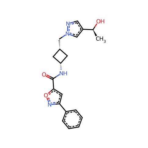 C[C@H](O)c1cnn(C[C@H]2C[C@@H](NC(=O)c3cc(-c4ccccc4)no3)C2)c1